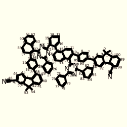 CC1(C)c2cc(-c3ccc(-c4ccc5c(-c6ccccc6-c6nc(-c7ccccc7)nc(-c7c(-c8ccc(-c9cccc%10c9-c9ccc(C#N)cc9C%10(C)C)cc8)ccc8ccccc78)n6)cccc5c4-c4nc(-c5ccccc5)nc(-c5ccccc5)n4)cc3)ccc2-c2c(C#N)cccc21